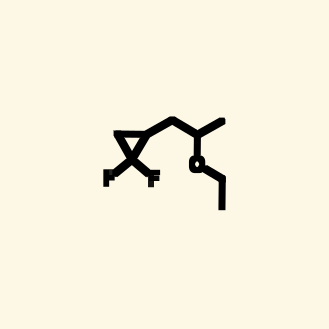 CCOC(C)CC1CC1(F)F